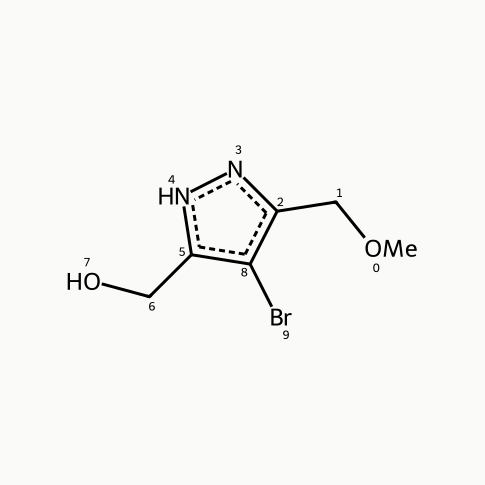 COCc1n[nH]c(CO)c1Br